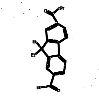 CCCC(=O)c1ccc2c(c1)C(CC)(CC)c1cc(C(=O)CC)ccc1-2